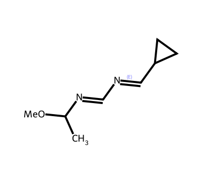 COC(C)N=C/N=C/C1CC1